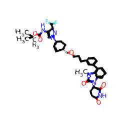 Cn1c(=O)n(C2CCC(=O)NC2=O)c2cccc(-c3cccc(CCCOC[C@H]4CC[C@H](n5cc(NC(=O)OC(C)(C)C)c(C(F)F)n5)CC4)c3)c21